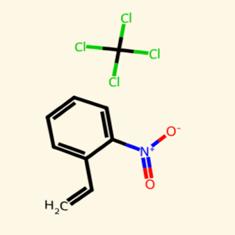 C=Cc1ccccc1[N+](=O)[O-].ClC(Cl)(Cl)Cl